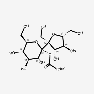 CCCCCCCCCC(=O)O[C@@]1([C@@]2(CO)O[C@H](CO)[C@@H](O)[C@@H]2O)O[C@H](CO)[C@@H](O)[C@H](O)[C@H]1O